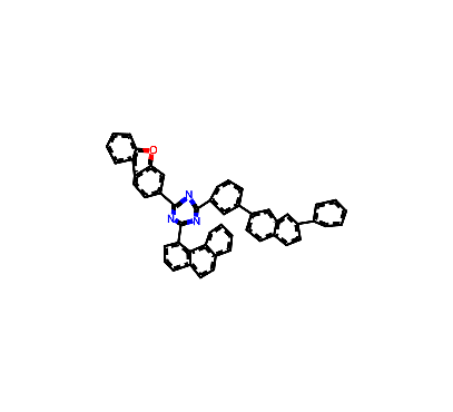 c1ccc(-c2ccc3ccc(-c4cccc(-c5nc(-c6ccc7c(c6)oc6ccccc67)nc(-c6cccc7ccc8ccccc8c67)n5)c4)cc3c2)cc1